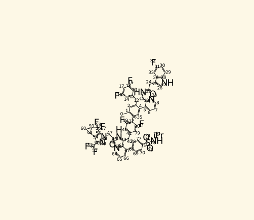 Cc1ccc(-c2cccnc2[C@H](Cc2cc(F)cc(F)c2)NC(=O)Cc2c[nH]c3ccc(F)cc23)cc1-c1c(F)cc(C[C@H](NC(=O)Cn2nc(C(F)F)c3c2C(F)(F)C2CC32)c2ncccc2-c2ccc(S(=O)(=O)NC(C)C)cc2)cc1F